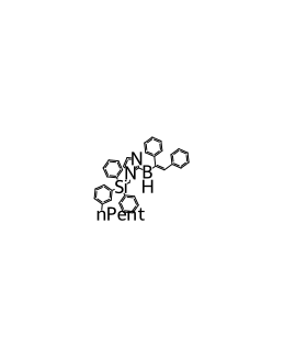 CCCCCc1cccc([Si](Cn2ccnc2BC(=Cc2ccccc2)c2ccccc2)(c2ccccc2)c2ccccc2)c1